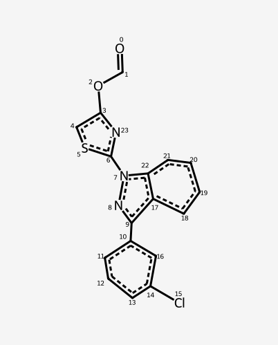 O=COc1csc(-n2nc(-c3cccc(Cl)c3)c3ccccc32)n1